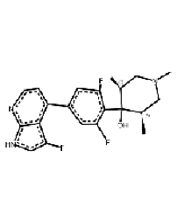 C[C@@H]1CN(C)C[C@H](C)C1(O)c1c(F)cc(-c2ccnc3[nH]cc(F)c23)cc1F